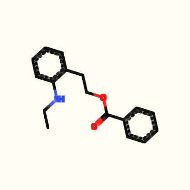 CCNc1ccccc1CCOC(=O)c1ccccc1